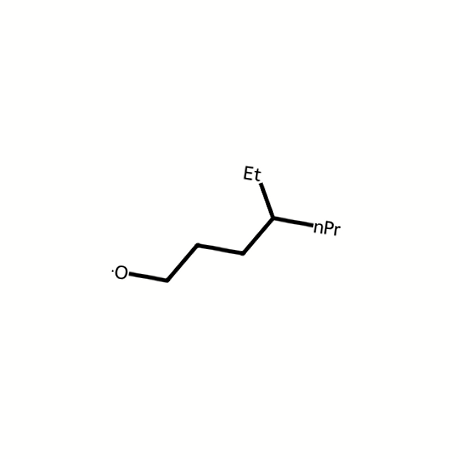 CCCC(CC)CCC[O]